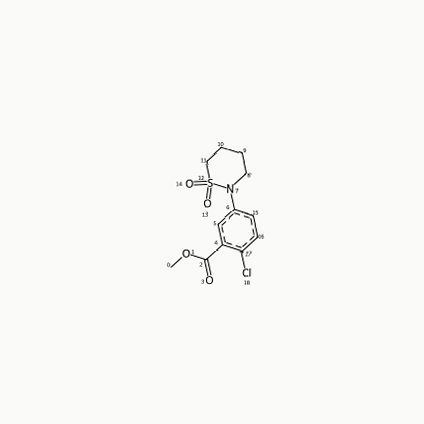 COC(=O)c1cc(N2CCCCS2(=O)=O)ccc1Cl